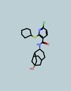 O=C(N[C@H]1CCC2CC3C[C@@](O)(C2)CC31)c1ccc(Cl)nc1SC1CCCCC1